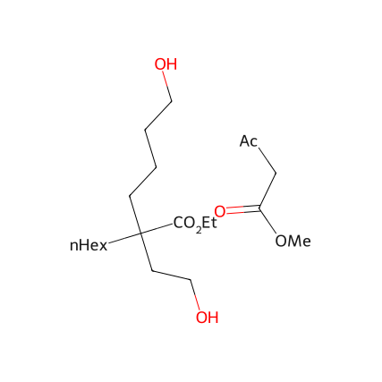 CCCCCCC(CCO)(CCCCO)C(=O)OCC.COC(=O)CC(C)=O